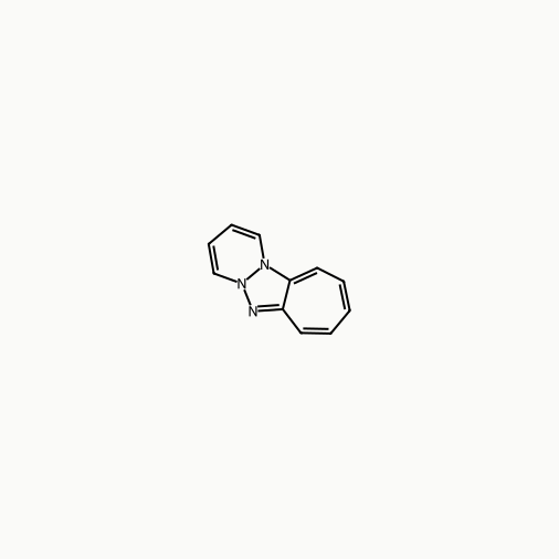 C1=CC=C2C(=NN3C=CC=CN23)C=C1